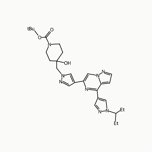 CCC(CC)n1cc(-c2nc(-c3cnn(CC4(O)CCN(C(=O)OC(C)(C)C)CC4)c3)cn3nccc23)cn1